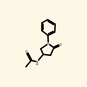 CC(=O)NC1CC(=O)N(c2ccccc2)C1